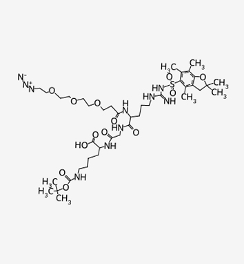 Cc1c(C)c(S(=O)(=O)NC(=N)NCCCC(NC(=O)CCOCCOCCOCCN=[N+]=[N-])C(=O)NCC(=O)NC(CCCCNC(=O)OC(C)(C)C)C(=O)O)c(C)c2c1OC(C)(C)C2